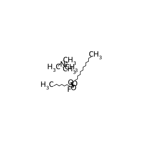 CCCCCCCCCCCCCOS(=O)(=O)C(F)CCCCCCC.CC[N+](CC)(CC)CC